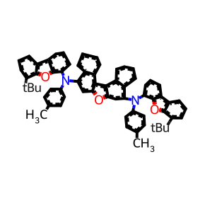 Cc1ccc(N(c2cc3oc4cc(N(c5ccc(C)cc5)c5cccc6c5oc5c(C(C)(C)C)cccc56)c5ccccc5c4c3c3ccccc23)c2cccc3c2oc2c(C(C)(C)C)cccc23)cc1